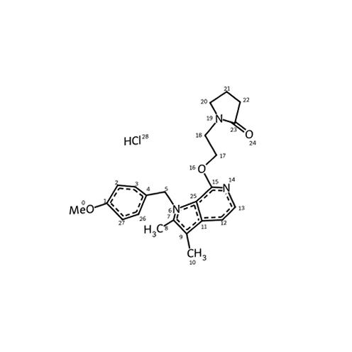 COc1ccc(Cn2c(C)c(C)c3ccnc(OCCN4CCCC4=O)c32)cc1.Cl